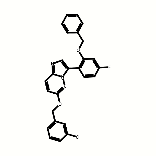 Fc1ccc(-c2cnc3ccc(OCc4cccc(Cl)c4)nn23)c(OCc2ccccc2)c1